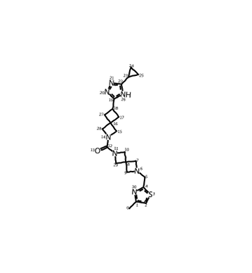 Cc1csc(CN2CC3(C2)CN(C(=O)N2CC4(CC(c5nnc(C6CC6)[nH]5)C4)C2)C3)n1